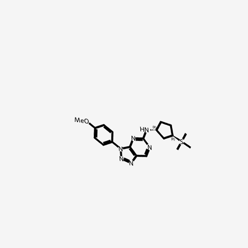 COc1ccc(-n2nnc3cnc(N[C@@H]4CC[C@@H](S(C)(C)C)C4)nc32)cc1